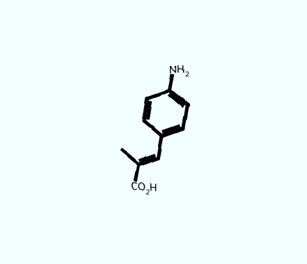 C/C(=C\c1ccc(N)cc1)C(=O)O